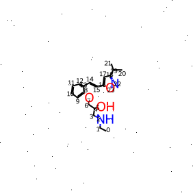 CCNCC(O)COc1ccccc1C=Cc1cc(C(C)C)no1